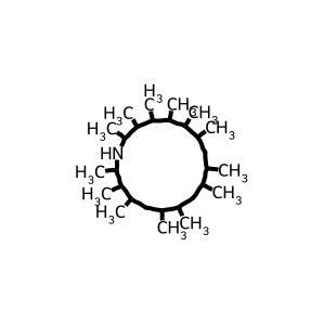 CC1CC(C)C(C)CC(C)C(C)C(C)C(C)C(C)C(C)NC(C)C(C)C(C)CC1C